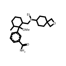 CCN(CC1CCCC(C)C1(OC)c1cccc(C(N)=O)c1)C1CCC2(CC1)COC2